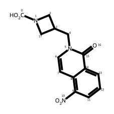 O=C(O)N1CC(Cn2ccc3c([N+](=O)[O-])cccc3c2=O)C1